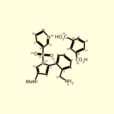 CNc1cc(-c2ccccc2CN)n(S(=O)(=O)c2cccnc2)c1.O=C(O)c1cccc(C(=O)O)c1